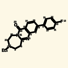 CCN1CCc2nc3cc(-c4ccc(F)cc4)ccc3c(=O)n2CC1